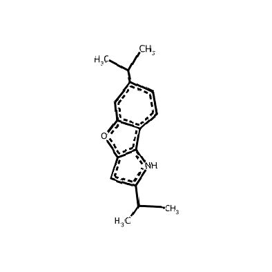 CC(C)c1ccc2c(c1)oc1cc(C(C)C)[nH]c12